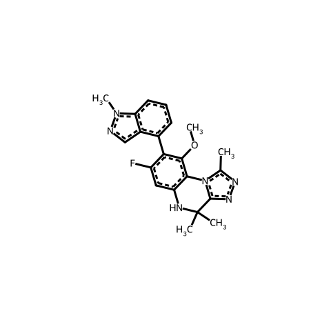 COc1c(-c2cccc3c2cnn3C)c(F)cc2c1-n1c(C)nnc1C(C)(C)N2